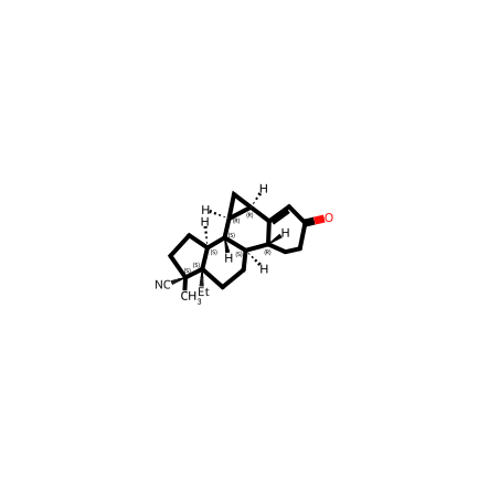 CC[C@]12CC[C@H]3[C@@H]([C@H]4C[C@H]4C4=CC(=O)CC[C@@H]43)[C@@H]1CC[C@]2(C)C#N